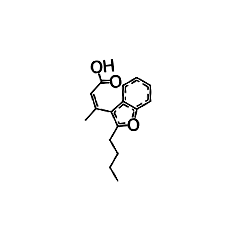 CCCCc1oc2ccccc2c1/C(C)=C\C(=O)O